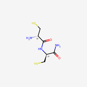 NC(=O)[C@@H](CS)NC(=O)[C@H](N)CS